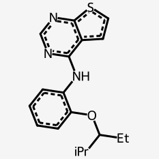 CCC(Oc1ccccc1Nc1ncnc2sccc12)C(C)C